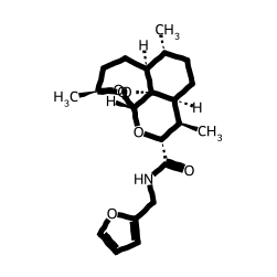 C[C@H]1[C@H](C(=O)NCc2ccco2)O[C@@H]2O[C@@]3(C)CC[C@H]4[C@H](C)CC[C@@H]1[C@@]24OO3